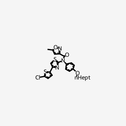 CCCCCCCOc1ccc(N(C(=O)c2cc(C)on2)c2nc(-c3ccc(Cl)s3)cs2)cc1